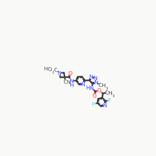 CC(OC(=O)Nc1c(-c2ccc(NC(=O)C3(C#N)CN(C(=O)O)C3)cn2)nnn1C)c1cc(F)cnc1F